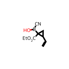 C=CC1CC1(B(O)C#N)C(=O)OCC